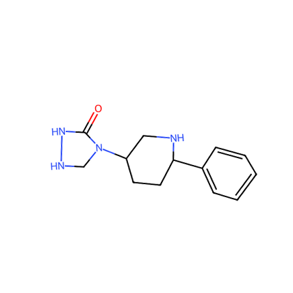 O=C1NNCN1C1CCC(c2ccccc2)NC1